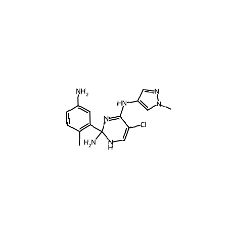 Cc1ccc(N)cc1C1(N)N=C(Nc2cnn(C)c2)C(Cl)=CN1